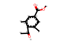 COC(=O)c1cc(C)c(C(C)=O)c(C)c1